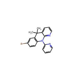 CC1(C)c2cc(Br)ccc2N(c2ccccn2)c2ncccc21